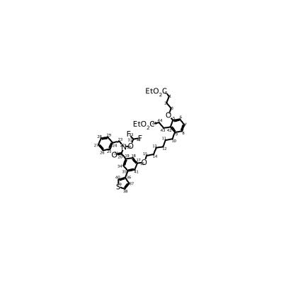 CCOC(=O)CCCOc1cccc(CCCCCCOc2cc(C(=O)N(Cc3ccccc3)OC(F)F)cc(-c3ccsc3)c2)c1CCC(=O)OCC